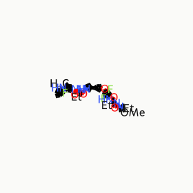 CCc1oc(N2CCC(C3C4CC(Oc5cc(F)c(NC(=O)c6nc(N7CC(CC)(OC)C7)oc6CC)cc5F)CC43)C2)nc1C(=O)Nc1cc(C)c(NC2CC3CC(C3)C2)c(F)c1